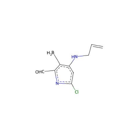 Bc1c(NCC=C)cc(Cl)nc1C=O